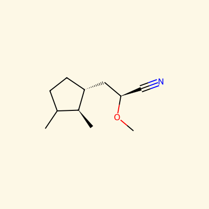 CO[C@H](C#N)C[C@H]1CCC(C)[C@@H]1C